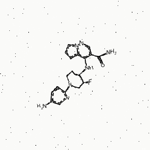 NC(=O)c1cnn2cccc2c1N[C@@H]1CCN(c2ccc(N)cn2)C[C@@H]1F